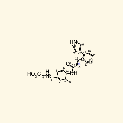 CC1C=C(CNCC(=O)O)C=CC1NC(=O)/C=C/c1cnccc1-c1cn[nH]c1